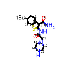 CC(C)(C)C1CCc2c(sc(NC(=O)CN3CCNCC3)c2C(N)=O)C1